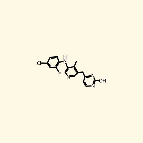 Cc1c(Cc2ccnc(O)n2)cncc1Nc1ccc(Cl)cc1F